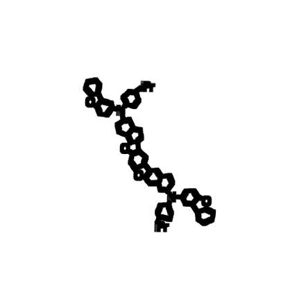 CC(C)c1ccc(N(c2ccc3cc4c(cc3c2)oc2cc3oc5c6ccc(N(c7ccc(C(C)C)cc7)c7ccc8oc9ccccc9c8c7)cc6ccc5c3cc24)c2ccc3oc4ccccc4c3c2)cc1